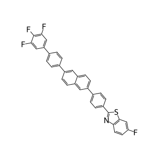 Fc1ccc2nc(-c3ccc(-c4ccc5cc(-c6ccc(-c7cc(F)c(F)c(F)c7)cc6)ccc5c4)cc3)sc2c1